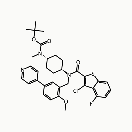 COc1ccc(-c2ccncc2)cc1CN(C(=O)c1sc2cccc(F)c2c1Cl)[C@H]1CC[C@H](N(C)C(=O)OC(C)(C)C)CC1